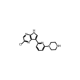 Clc1cnc2[nH]cc(-c3cccc(N4CCNCC4)n3)c2n1